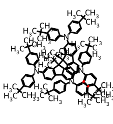 CC(C)(C)c1ccc(N(c2ccc(C(C)(C)C)cc2)c2ccc3c(c2)C(C(C)(C)C)(C2(C(C)(C)C)c4cc(N(c5ccc(C(C)(C)C)cc5)c5ccc(C(C)(C)C)cc5)ccc4-c4ccc(N(c5ccc(C(C)(C)C)cc5)c5ccc(C(C)(C)C)cc5)cc42)c2cc(N(c4ccc(C(C)(C)C)cc4)c4ccc(C(C)(C)C)cc4)ccc2-3)cc1